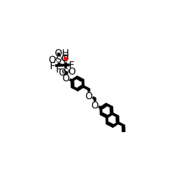 C=Cc1ccc2cc(OCOCc3ccc(OS(=O)(=O)C(F)(F)C(F)(F)S(=O)(=O)O)cc3)ccc2c1